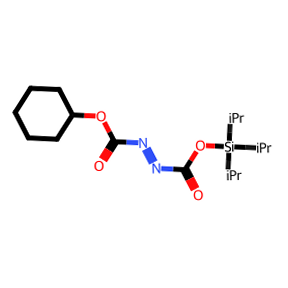 CC(C)[Si](OC(=O)/N=N/C(=O)OC1CCCCC1)(C(C)C)C(C)C